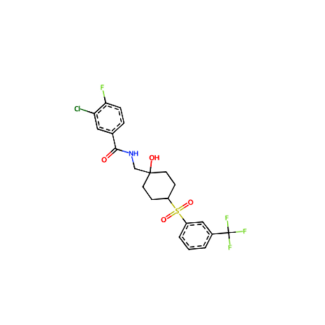 O=C(NCC1(O)CCC(S(=O)(=O)c2cccc(C(F)(F)F)c2)CC1)c1ccc(F)c(Cl)c1